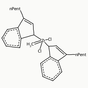 [CH2]=[Zr]([Cl])([Cl])([CH]1C=C(CCCCC)c2ccccc21)[CH]1C=C(CCCCC)c2ccccc21